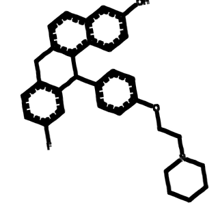 Oc1ccc2c3c(ccc2c1)Cc1ccc(F)cc1C3c1ccc(OCCN2CCCCC2)cc1